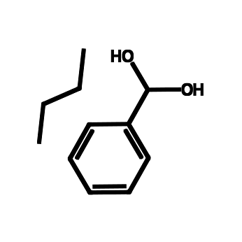 CCCC.OC(O)c1ccccc1